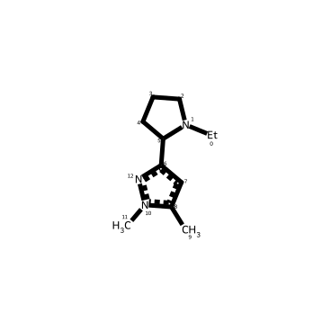 CCN1CCCC1c1cc(C)n(C)n1